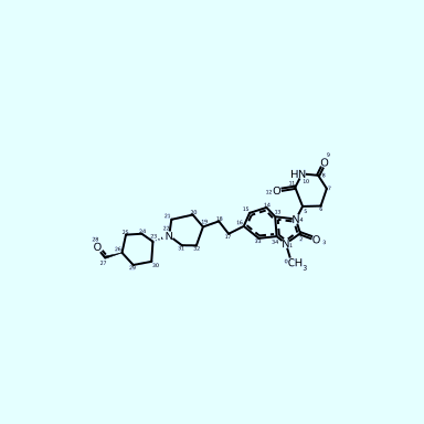 Cn1c(=O)n(C2CCC(=O)NC2=O)c2ccc(CCC3CCN([C@H]4CC[C@H](C=O)CC4)CC3)cc21